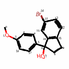 COc1ccc(C2(O)CCc3ccc(Br)cc32)cc1